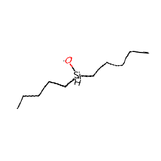 CCCCC[SiH]([O])CCCCC